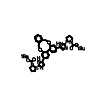 CC(C)(C)OC(=O)N1CCC[C@H]1c1ncc(-c2ccc3c(c2)OCc2ccccc2COc2cc(-c4cnc([C@@H]5CCCN5C(=O)OC(C)(C)C)[nH]4)ccc2-3)[nH]1